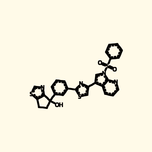 O=S(=O)(c1ccccc1)n1cc(-c2csc(-c3cccc(C4(O)CCc5scnc54)c3)n2)c2cccnc21